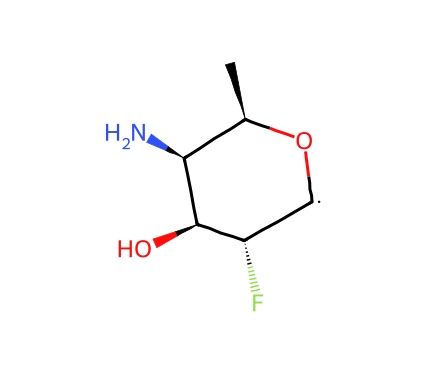 C[C@H]1O[CH][C@H](F)[C@@H](O)[C@H]1N